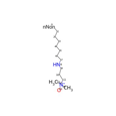 CCCCCCCCCCCCCCCCNCCC[N+](C)(C)[O-]